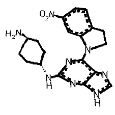 N[C@H]1CC[C@H](Nc2nc(N3CCc4ccc([N+](=O)[O-])cc43)c3nc[nH]c3n2)CC1